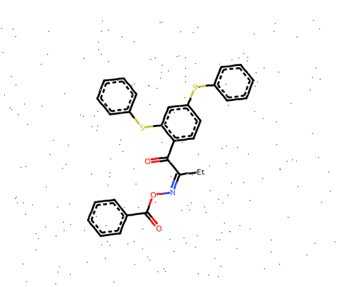 CCC(=NOC(=O)c1ccccc1)C(=O)c1ccc(Sc2ccccc2)cc1Sc1ccccc1